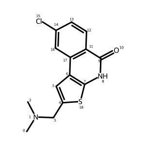 CN(C)Cc1cc2c([nH]c(=O)c3ccc(Cl)cc32)s1